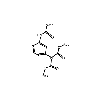 CNC(=O)Nc1cc(N(C(=O)OC(C)(C)C)C(=O)OC(C)(C)C)ncn1